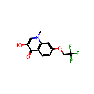 Cn1cc(O)c(=O)c2ccc(OCC(F)(F)F)cc21